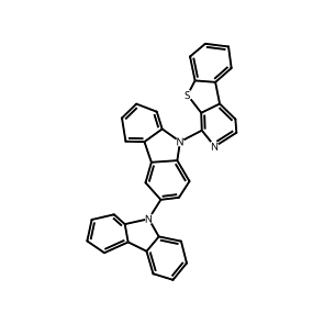 c1ccc2c(c1)sc1c(-n3c4ccccc4c4cc(-n5c6ccccc6c6ccccc65)ccc43)nccc12